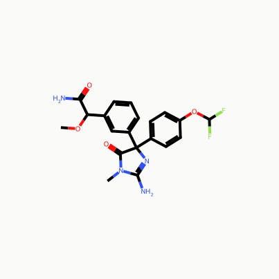 COC(C(N)=O)c1cccc(C2(c3ccc(OC(F)F)cc3)N=C(N)N(C)C2=O)c1